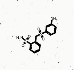 Nc1cccc(S(=O)(=O)Cc2ccccc2S(N)(=O)=O)c1